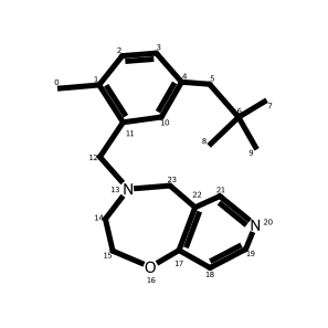 Cc1ccc(CC(C)(C)C)cc1CN1CCOc2ccncc2C1